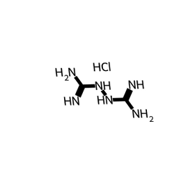 Cl.N=C(N)NNC(=N)N